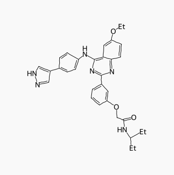 CCOc1ccc2nc(-c3cccc(OCC(=O)NC(CC)CC)c3)nc(Nc3ccc(-c4cn[nH]c4)cc3)c2c1